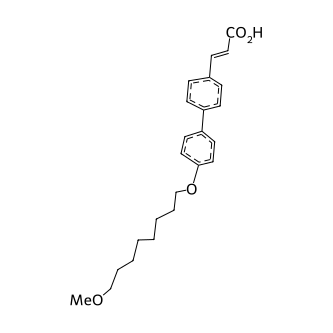 COCCCCCCCCOc1ccc(-c2ccc(/C=C/C(=O)O)cc2)cc1